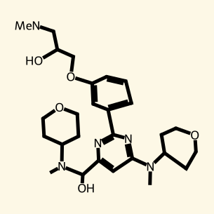 CNCC(O)COc1cccc(-c2nc(C(O)N(C)C3CCOCC3)cc(N(C)C3CCOCC3)n2)c1